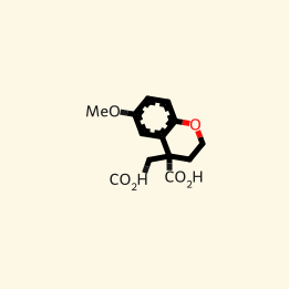 COc1ccc2c(c1)C(CC(=O)O)(C(=O)O)CCO2